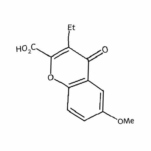 CCc1c(C(=O)O)oc2ccc(OC)cc2c1=O